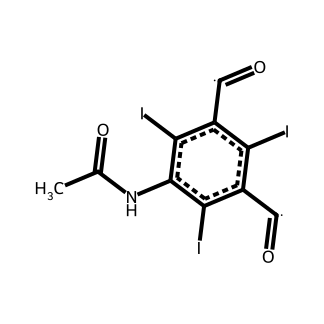 CC(=O)Nc1c(I)c([C]=O)c(I)c([C]=O)c1I